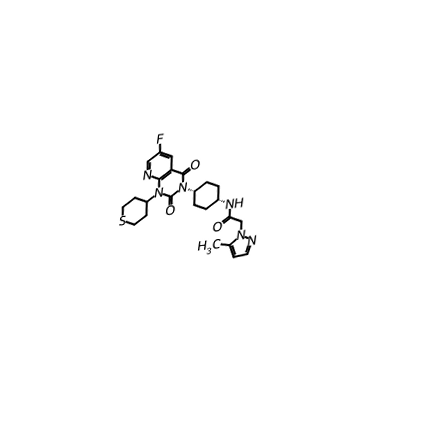 Cc1ccnn1CC(=O)N[C@H]1CC[C@@H](n2c(=O)c3cc(F)cnc3n(C3CCSCC3)c2=O)CC1